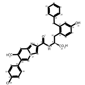 Cc1cc2nc(C(=O)N[C@@H](Cc3ccc(O)cc3Cc3ccccc3)C(=O)O)cn2cc1-c1ccc(Cl)cc1